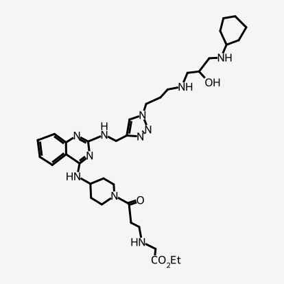 CCOC(=O)CNCCC(=O)N1CCC(Nc2nc(NCc3cn(CCCNCC(O)CNC4CCCCC4)nn3)nc3ccccc23)CC1